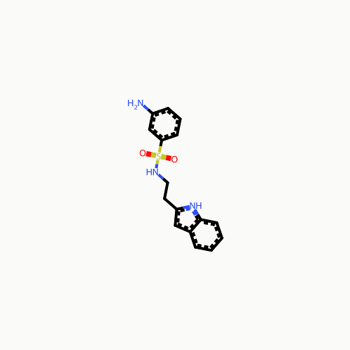 Nc1cccc(S(=O)(=O)NCCc2cc3ccccc3[nH]2)c1